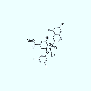 COC(=O)c1cc(Nc2c(S(=O)(=O)NC3CC3)cnc3cc(Br)cc(F)c23)cc(Oc2cc(F)cc(F)c2)c1